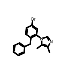 Cc1ncn(-c2cc(Br)ccc2Cc2ccccc2)c1C